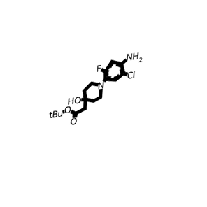 CC(C)(C)OC(=O)CC1(O)CCN(c2cc(Cl)c(N)cc2F)CC1